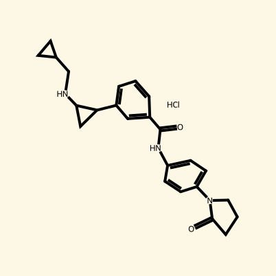 Cl.O=C(Nc1ccc(N2CCCC2=O)cc1)c1cccc(C2CC2NCC2CC2)c1